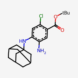 CC(C)(C)OC(=O)c1cc(N)c(NC23CC4CC(CC(C4)C2)C3)cc1Cl